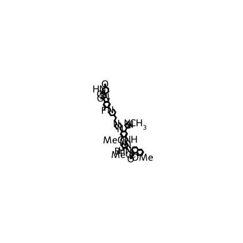 COc1cc(N2CCN(CCC3CCN(c4cc5c(cc4F)C(=O)N(C4CCC(=O)NC4=O)C5)CC3)CC2)c(-c2cnn(C)c2)cc1Nc1ncc(Br)c(Nc2ccc3ccccc3c2P(=O)(OC)OC)n1